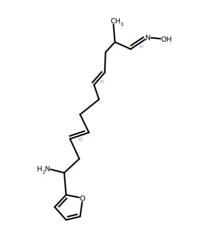 CC(/C=N/O)C/C=C/CC/C=C/CC(N)c1ccco1